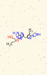 CCCC(CCO)Oc1nc(N)c2ncc(Cc3cnc(N4CCNCC4)c(C)c3)n2n1